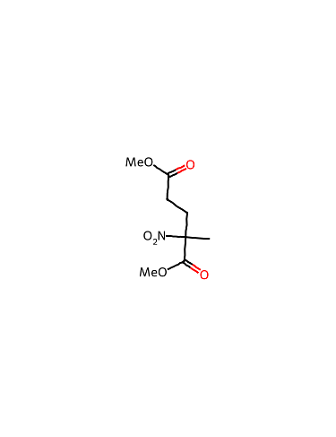 COC(=O)CCC(C)(C(=O)OC)[N+](=O)[O-]